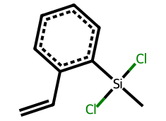 C=Cc1ccccc1[Si](C)(Cl)Cl